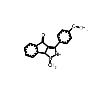 COc1ccc(C2=C3C(=O)c4ccccc4C3N(C)N2)cc1